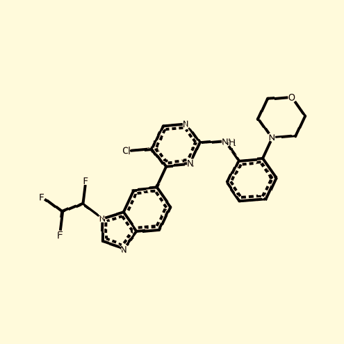 FC(F)C(F)n1cnc2ccc(-c3nc(Nc4ccccc4N4CCOCC4)ncc3Cl)cc21